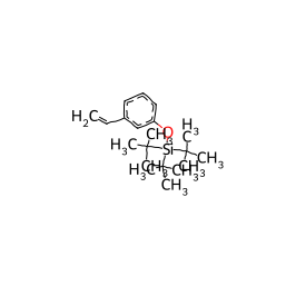 C=Cc1cccc(O[Si](C(C)(C)C)(C(C)(C)C)C(C)(C)C)c1